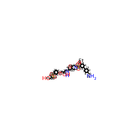 CCOc1ccc(-c2ccc(CN)cc2)cc1S(=O)(=O)N1CCC2(CC1)C[C@H](NC[C@H](O)COc1cccc(S(=O)(=O)C(C)(C)CO)c1)CO2